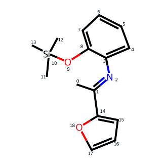 CC(=Nc1ccccc1O[Si](C)(C)C)c1ccco1